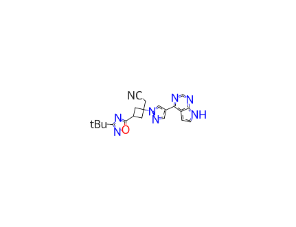 CC(C)(C)c1noc(C2CC(CC#N)(n3cc(-c4ncnc5[nH]ccc45)cn3)C2)n1